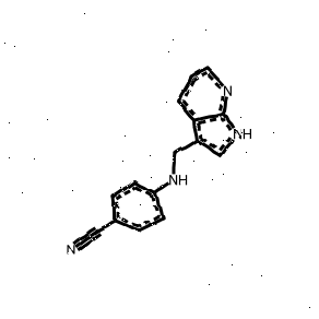 N#Cc1ccc(NCc2c[nH]c3ncccc23)cc1